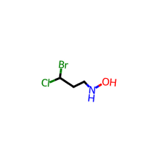 ONCCC(Cl)Br